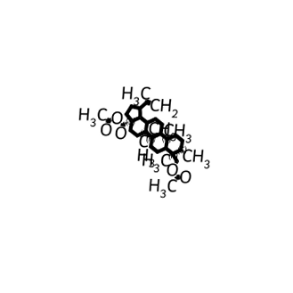 C=C(C)C1CC[C@]2(C(=O)OC(C)=O)CC[C@]3(C)C(CCC4[C@@]5(C)CC[C@H](C)[C@@](C)(COC(C)=O)C5CC[C@]43C)C12